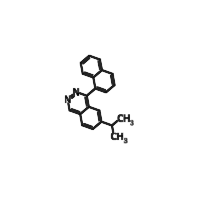 CC(C)c1ccc2cnnc(-c3cccc4ccccc34)c2c1